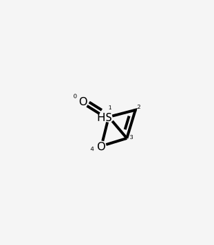 O=[SH]12C=C1O2